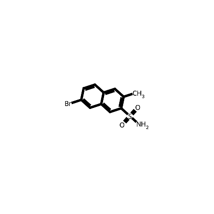 Cc1cc2ccc(Br)cc2cc1S(N)(=O)=O